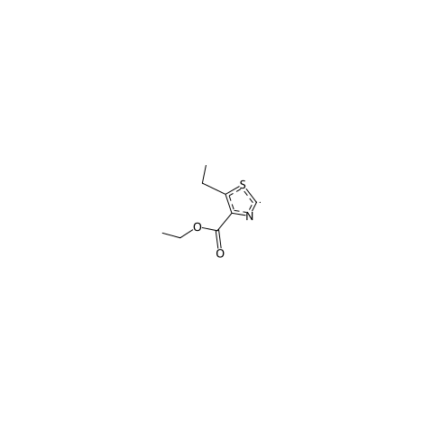 CCOC(=O)c1n[c]sc1CC